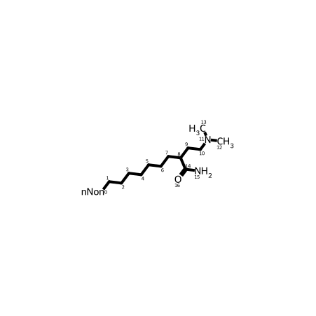 CCCCCCCCCCCCCCCCC(CCN(C)C)C(N)=O